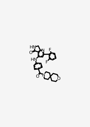 O=C1NCc2nc(-c3c(F)cccc3F)cc(Nc3ccc(C(=O)N4CCC5(CCOCC5)CC4)cc3)c21